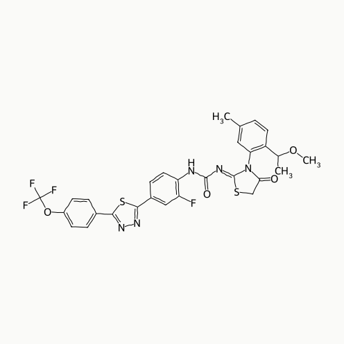 COC(C)c1ccc(C)cc1N1C(=O)CSC1=NC(=O)Nc1ccc(-c2nnc(-c3ccc(OC(F)(F)F)cc3)s2)cc1F